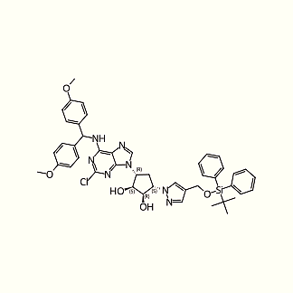 COc1ccc(C(Nc2nc(Cl)nc3c2ncn3[C@@H]2C[C@H](n3cc(CO[Si](c4ccccc4)(c4ccccc4)C(C)(C)C)cn3)[C@@H](O)[C@H]2O)c2ccc(OC)cc2)cc1